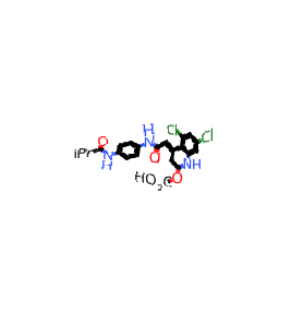 CC(C)C(=O)Nc1ccc(NC(=O)/C=C2\CC(OC(=O)O)Nc3cc(Cl)cc(Cl)c32)cc1